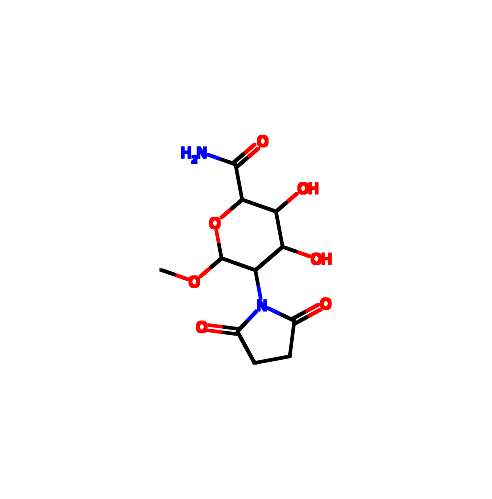 COC1OC(C(N)=O)C(O)C(O)C1N1C(=O)CCC1=O